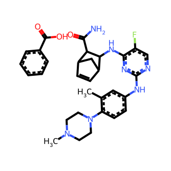 Cc1cc(Nc2ncc(F)c(NC3C4C=CC(C4)C3C(N)=O)n2)ccc1N1CCN(C)CC1.O=C(O)c1ccccc1